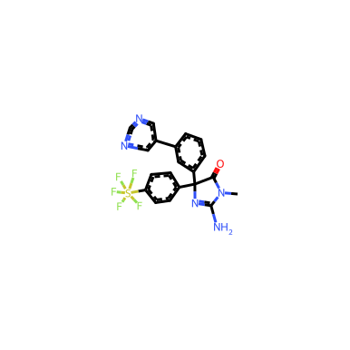 CN1C(=O)C(c2ccc(S(F)(F)(F)(F)F)cc2)(c2cccc(-c3cncnc3)c2)N=C1N